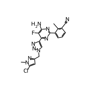 Cc1c(C#N)cccc1-c1nc(N)c(F)c(-c2cn(Cc3cc(Cl)n(C)n3)nn2)n1